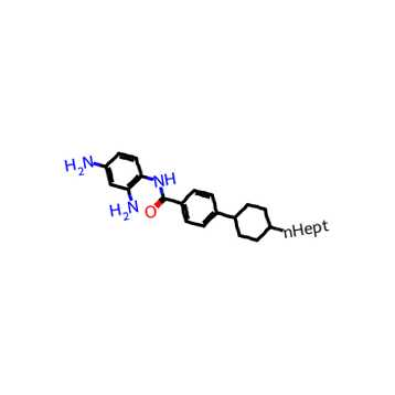 CCCCCCCC1CCC(c2ccc(C(=O)Nc3ccc(N)cc3N)cc2)CC1